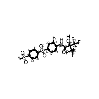 CS(=O)(=O)c1ccc(S(=O)(=O)c2ccc(NC(=O)C(O)(C(F)(F)F)C(F)(F)F)c(F)c2)cc1